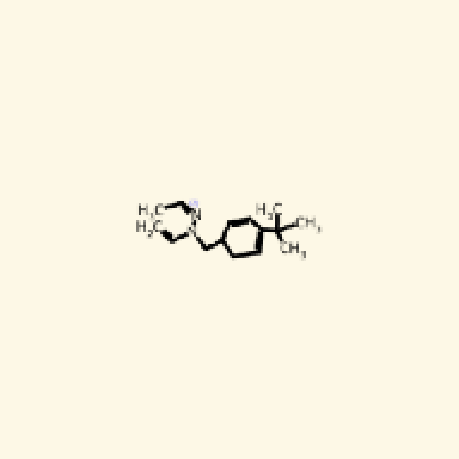 C=CN(CC1C=CC(C(C)(C)C)=CC1)/N=C\C